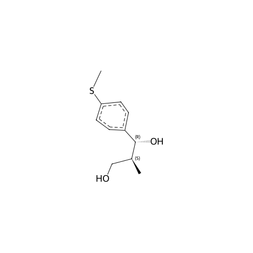 CSc1ccc([C@H](O)[C@@H](C)CO)cc1